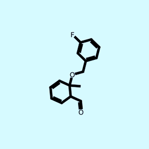 CC1(OCc2cccc(F)c2)C=CC=CC1C=O